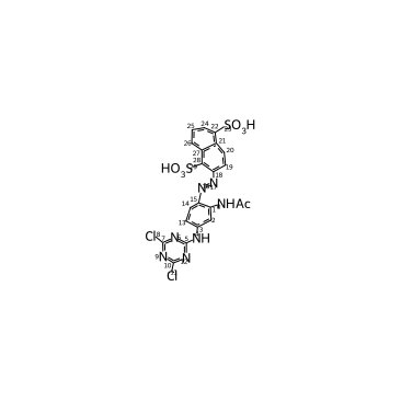 CC(=O)Nc1cc(Nc2nc(Cl)nc(Cl)n2)ccc1N=Nc1ccc2c(S(=O)(=O)O)cccc2c1S(=O)(=O)O